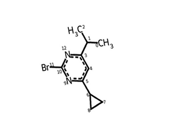 CC(C)c1cc(C2CC2)nc(Br)n1